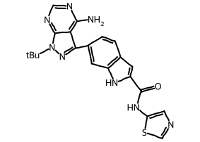 CC(C)(C)n1nc(-c2ccc3cc(C(=O)Nc4cncs4)[nH]c3c2)c2c(N)ncnc21